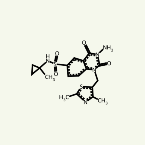 Cc1nc(C)c(Cn2c(=O)n(N)c(=O)c3cc(S(=O)(=O)NC4(C)CC4)ccc32)s1